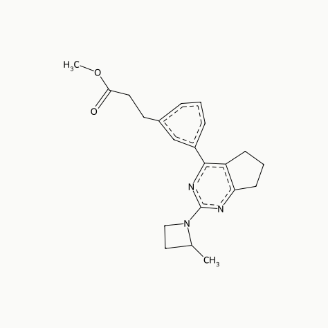 COC(=O)CCc1cccc(-c2nc(N3CCC3C)nc3c2CCC3)c1